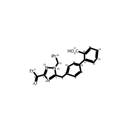 CCC(=O)c1nc(Cc2ccc(-c3ccccc3C(=O)O)cc2)n(CC(C)C)n1